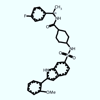 COc1ccccc1-c1cc2ccc(S(=O)(=O)NC3CCC(C(=O)N[C@H](C)c4ccc(F)cc4)CC3)cc2[nH]1